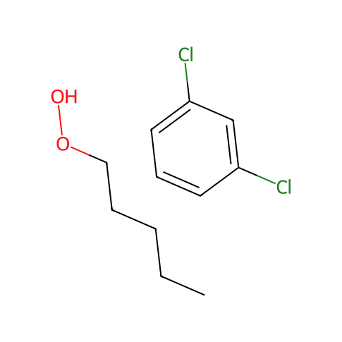 CCCCCOO.Clc1cccc(Cl)c1